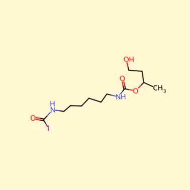 CC(CCO)OC(=O)NCCCCCCNC(=O)I